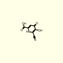 N#Cc1[nH]c(C(=O)O)cc(=O)c1O